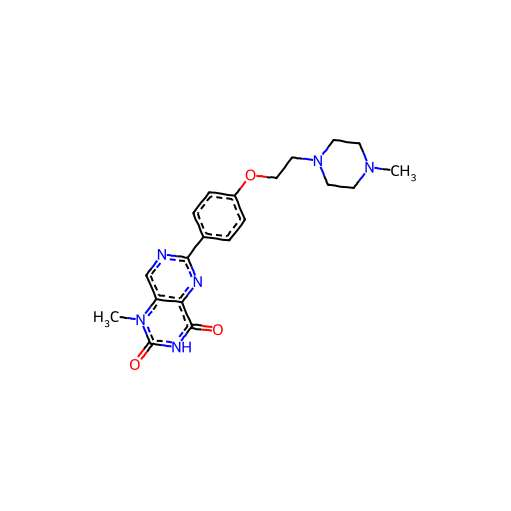 CN1CCN(CCOc2ccc(-c3ncc4c(n3)c(=O)[nH]c(=O)n4C)cc2)CC1